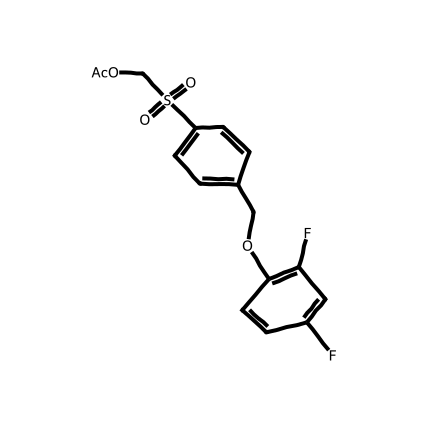 CC(=O)OCS(=O)(=O)c1ccc(COc2ccc(F)cc2F)cc1